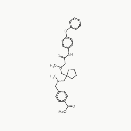 COC(=O)c1ccc(CN(C)CC2(CN(C)CC(=O)Nc3ccc(Oc4ccccc4)cc3)CCCC2)cc1